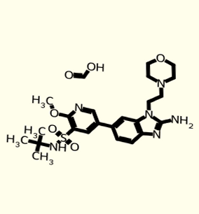 COc1ncc(-c2ccc3nc(N)n(CCN4CCOCC4)c3c2)cc1S(=O)(=O)NC(C)(C)C.O=CO